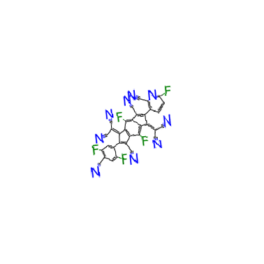 N#CC(C#N)=C1C(c2cc(F)c(C#N)cc2F)=C(C#N)c2c(F)c3c(c(F)c21)C(C#N)=C(c1ccc(F)nc1C#N)C3=C(C#N)C#N